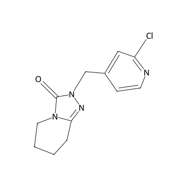 O=c1n(Cc2ccnc(Cl)c2)nc2n1CCCC2